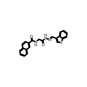 O=C(CNC(=O)c1ccc2ccccc2c1)N/N=C/c1csc2ccccc12